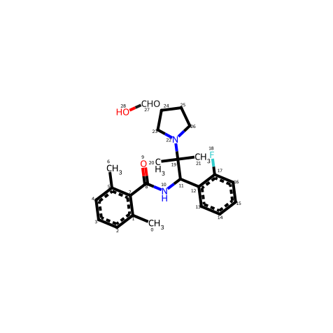 Cc1cccc(C)c1C(=O)NC(c1ccccc1F)C(C)(C)N1CCCC1.O=CO